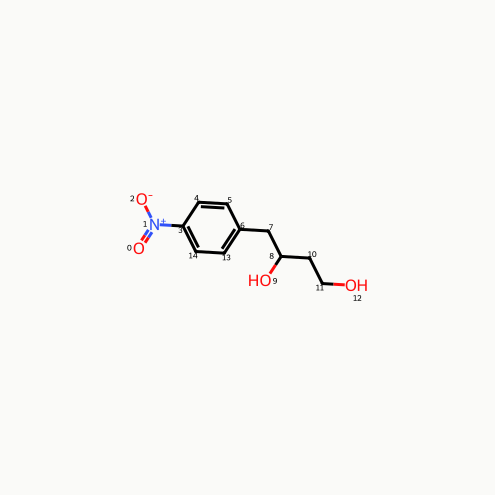 O=[N+]([O-])c1ccc(CC(O)CCO)cc1